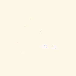 O=C(Nc1ccc(Cl)cn1)C(C[C@H]1C[C@@H](F)[C@@H](F)C1)c1ccc(S(=O)(=O)C2CC2)cc1